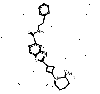 CC1CCCCN1C1CC(c2nc3cc(C(=O)NCCc4ccccc4)ccc3s2)C1